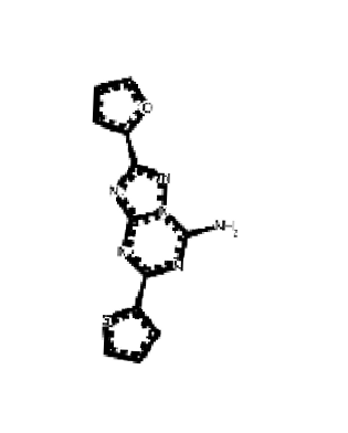 Nc1nc(-c2cccs2)nc2nc(-c3ccco3)nn12